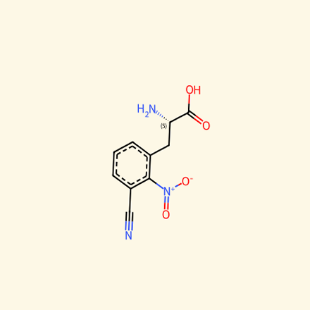 N#Cc1cccc(C[C@H](N)C(=O)O)c1[N+](=O)[O-]